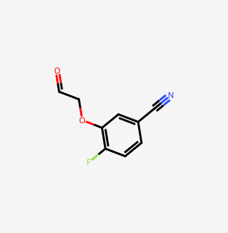 N#Cc1ccc(F)c(OCC=O)c1